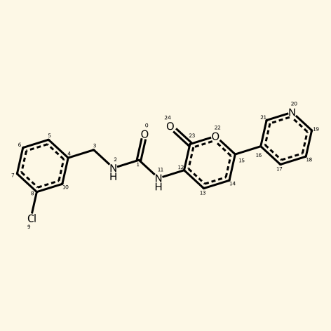 O=C(NCc1cccc(Cl)c1)Nc1ccc(-c2cccnc2)oc1=O